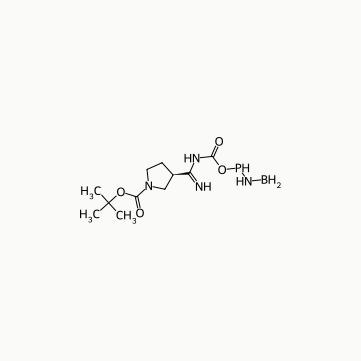 BNPOC(=O)NC(=N)[C@@H]1CCN(C(=O)OC(C)(C)C)C1